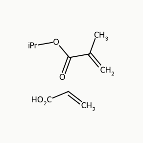 C=C(C)C(=O)OC(C)C.C=CC(=O)O